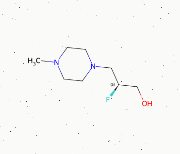 CN1CCN(C[C@H](F)CO)CC1